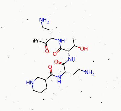 CC(C)C(=O)[C@H](CCN)NC(=O)[C@@H](NC(=O)[C@H](CCN)NC(=O)[C@H]1CCCNC1)C(C)O